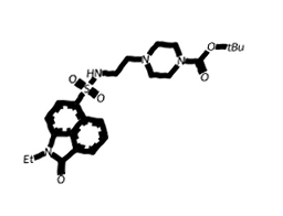 CCN1C(=O)c2cccc3c(S(=O)(=O)NCCN4CCN(C(=O)OC(C)(C)C)CC4)ccc1c23